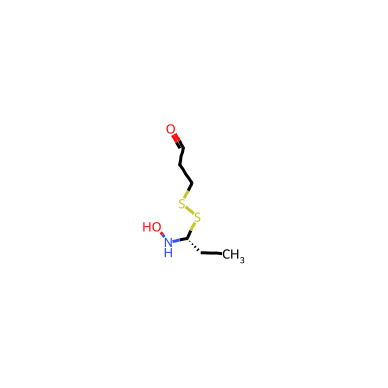 CC[C@H](NO)SSCCC=O